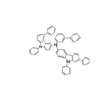 c1ccc(-c2cccc(N(c3ccc4c(c3)c3ccc(-c5ccccc5)cc3n4-c3ccccc3)c3ccc4c(c3)c3c(-c5ccccc5)cccc3n4-c3ccccc3)c2)cc1